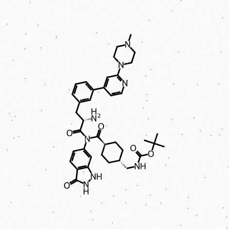 CN1CCN(c2cc(-c3cccc(C[C@H](N)C(=O)N(c4ccc5c(=O)[nH][nH]c5c4)C(=O)[C@H]4CC[C@H](CNC(=O)OC(C)(C)C)CC4)c3)ccn2)CC1